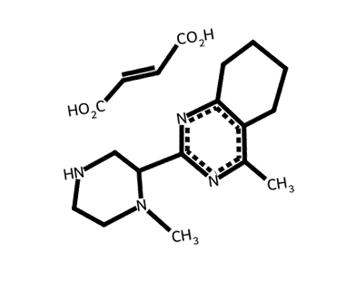 Cc1nc(C2CNCCN2C)nc2c1CCCC2.O=C(O)C=CC(=O)O